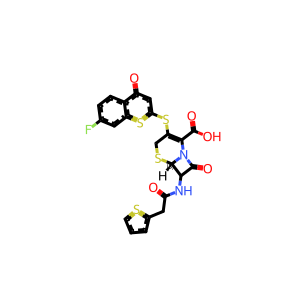 O=C(Cc1cccs1)NC1C(=O)N2C(C(=O)O)=C(Sc3cc(=O)c4ccc(F)cc4s3)CS[C@@H]12